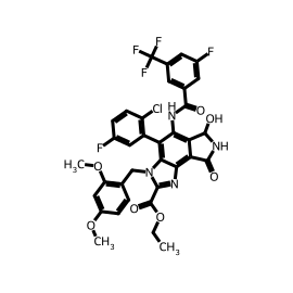 CCOC(=O)c1nc2c3c(c(NC(=O)c4cc(F)cc(C(F)(F)F)c4)c(-c4cc(F)ccc4Cl)c2n1Cc1ccc(OC)cc1OC)C(O)NC3=O